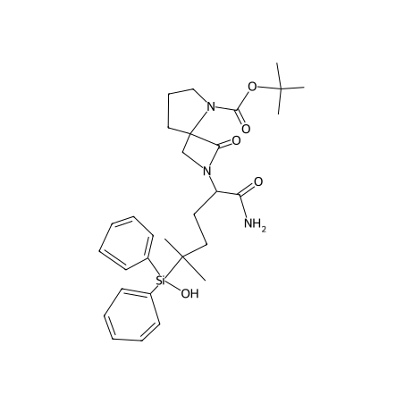 CC(C)(C)OC(=O)N1CCCC12CN(C(CCC(C)(C)[Si](O)(c1ccccc1)c1ccccc1)C(N)=O)C2=O